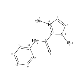 CC(C)(C)n1cc[n+](C(C)(C)C)c1C(=O)Nc1ccccc1